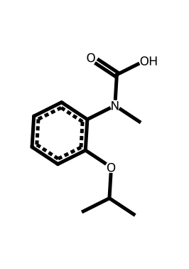 CC(C)Oc1ccccc1N(C)C(=O)O